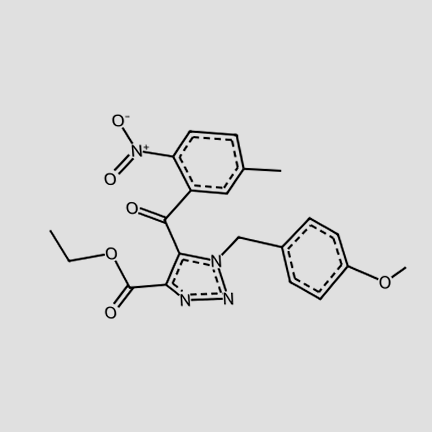 CCOC(=O)c1nnn(Cc2ccc(OC)cc2)c1C(=O)c1cc(C)ccc1[N+](=O)[O-]